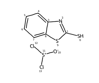 Sc1nc2ccccc2s1.[O-][S+](Cl)Cl